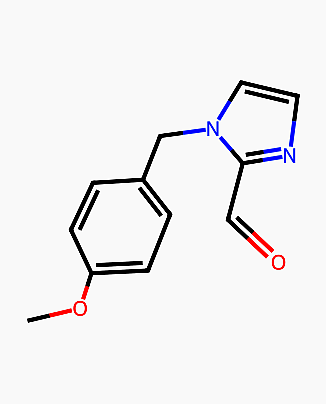 COc1ccc(Cn2ccnc2C=O)cc1